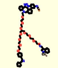 Cn1cc(/C=N/OCCOCCOCCOCC(COCCOCCOCCOc2ccc(C3=NC3c3ccccc3)cc2)OCCOCCOCCN2Cc3ccccc3C3C(N=NN3c3ccc(N=C=S)cc3)c3ccccc32)c2ccccc21